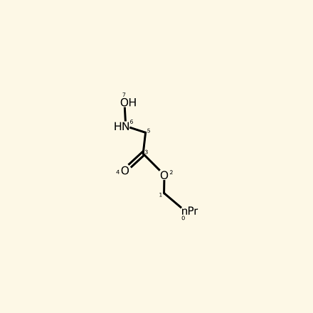 CCCCOC(=O)CNO